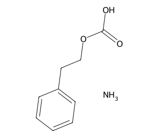 N.O=C(O)OCCc1ccccc1